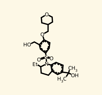 CCC1CCc2cc(C(C)(C)O)ccc2N1S(=O)(=O)c1ccc(OCC2CCOCC2)c(CO)c1